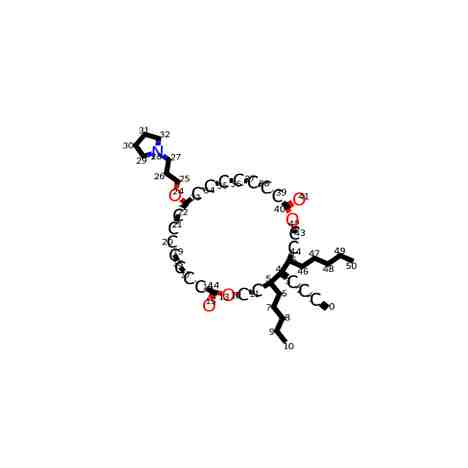 C=C=C=C=C1C(CCCCC)CCOC(=O)CCCCCCCC(OCCCN2CCCC2)CCCCCCCC(=O)OCCC1CCCCC